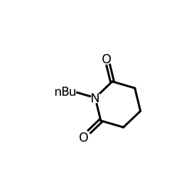 CCCCN1C(=O)CCCC1=O